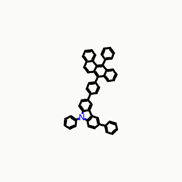 c1ccc(-c2ccc3c(c2)c2cc(-c4ccc(-c5c6ccccc6c(-c6ccccc6)c6c5ccc5ccccc56)cc4)ccc2n3-c2ccccc2)cc1